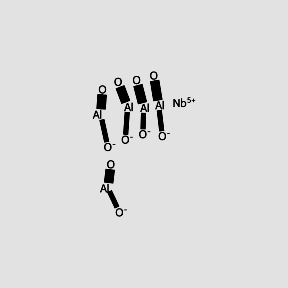 [Nb+5].[O]=[Al][O-].[O]=[Al][O-].[O]=[Al][O-].[O]=[Al][O-].[O]=[Al][O-]